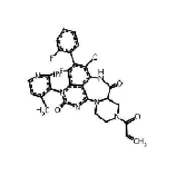 C=CC(=O)N1CCN2c3nc(=O)n(-c4c(C)ccnc4C(C)C)c4c(F)c(-c5ccccc5F)c(Cl)c(c34)NC(=O)C2C1